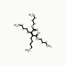 CCCCC/C(C(=O)OCCCC)=C(\CCCCC)C(=O)OCCCC